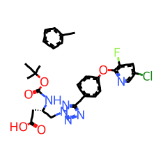 CC(C)(C)OC(=O)N[C@@H](CC(=O)O)Cn1nnc(-c2ccc(Oc3ncc(Cl)cc3F)cc2)n1.Cc1ccccc1